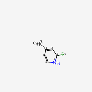 O=CC1=CC(F)NC=C1